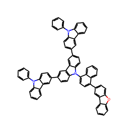 c1ccc(-n2c3ccccc3c3cc(-c4ccc5c(c4)c4cc(-c6ccc7c(c6)c6ccccc6n7-c6ccccc6)ccc4n5-c4ccc(-c5ccc6oc7ccccc7c6c5)c5ccccc45)ccc32)cc1